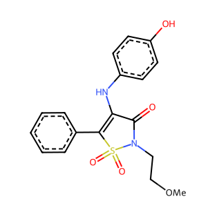 COCCN1C(=O)C(Nc2ccc(O)cc2)=C(c2ccccc2)S1(=O)=O